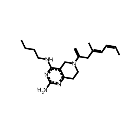 C=C(C/C(C)=C/C=C\C)N1CCc2nc(N)nc(NCCCC)c2C1